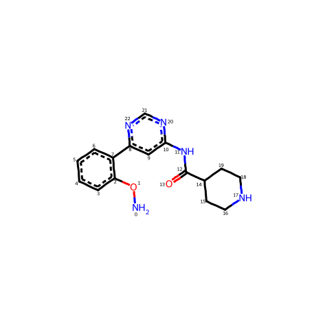 NOc1ccccc1-c1cc(NC(=O)C2CCNCC2)ncn1